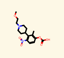 COCCN1CCC(c2c([N+](=O)[O-])ccc(OC(=O)O)c2C)CC1